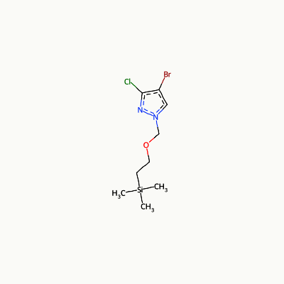 C[Si](C)(C)CCOCn1cc(Br)c(Cl)n1